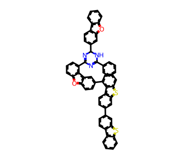 c1ccc(C2=NC(c3cccc4oc5ccc(-c6cccc7sc8cc(-c9ccc%10c(c9)sc9ccccc9%10)ccc8c67)cc5c34)=NC(c3ccc4c(c3)oc3ccccc34)N2)cc1